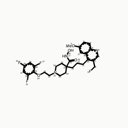 COc1ccc2ncc(CF)c(CCCC3(C(=O)NO)CCN(CCOc4c(F)cc(F)cc4F)CC3)c2c1